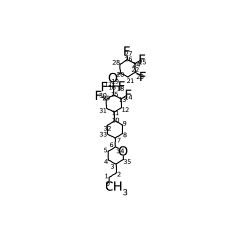 CCCC1CCC(C2CCC(C3CC(F)C(C(F)(F)OC4CC(F)C(F)C(F)C4)C(F)C3)CC2)OC1